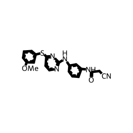 COc1cccc(Sc2ccnc(Nc3cccc(NC(=O)CC#N)c3)n2)c1